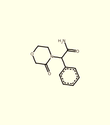 NC(=O)C(c1ccccc1)N1CCOCC1=O